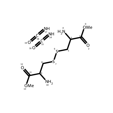 COC(=O)C(N)CSSCC(N)C(=O)OC.N=C=O.N=C=O